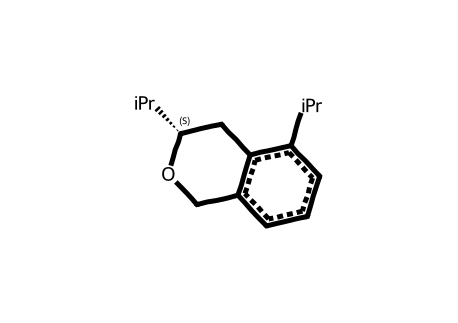 CC(C)c1cccc2c1C[C@@H](C(C)C)OC2